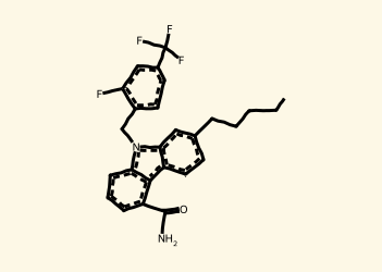 CCCCCc1c[c]c2c3c(C(N)=O)cccc3n(Cc3ccc(C(F)(F)F)cc3F)c2c1